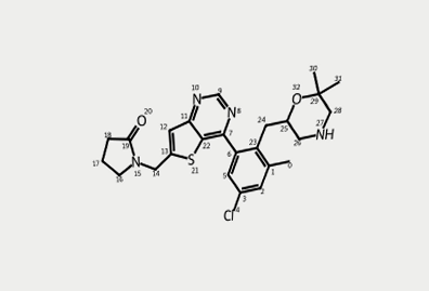 Cc1cc(Cl)cc(-c2ncnc3cc(CN4CCCC4=O)sc23)c1CC1CNCC(C)(C)O1